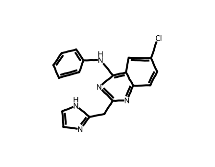 Clc1ccc2nc(Cc3ncc[nH]3)nc(Nc3ccccc3)c2c1